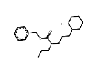 CCC[C@H](CCCC1CCCC[C@H]1I)C(=O)OCc1ccccc1